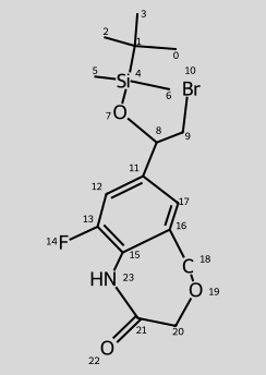 CC(C)(C)[Si](C)(C)OC(CBr)c1cc(F)c2c(c1)COCC(=O)N2